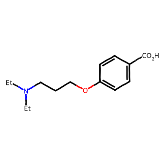 CCN(CC)CCCOc1ccc(C(=O)O)cc1